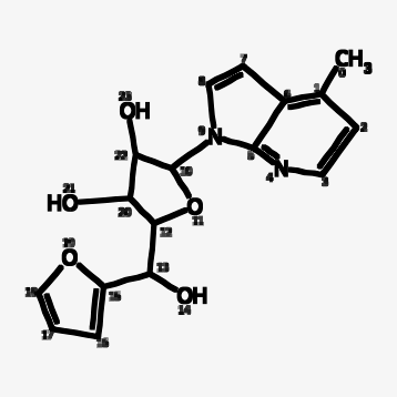 Cc1ccnc2c1ccn2C1OC(C(O)c2ccco2)C(O)C1O